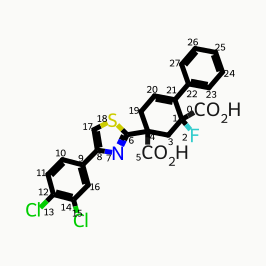 O=C(O)C1(F)CC(C(=O)O)(c2nc(-c3ccc(Cl)c(Cl)c3)cs2)CC=C1c1ccccc1